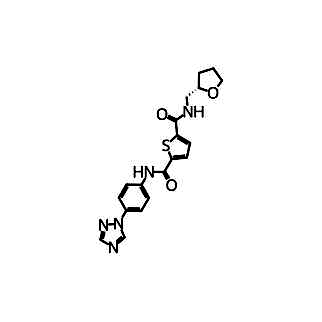 O=C(NC[C@@H]1CCCO1)c1ccc(C(=O)Nc2ccc(-n3cncn3)cc2)s1